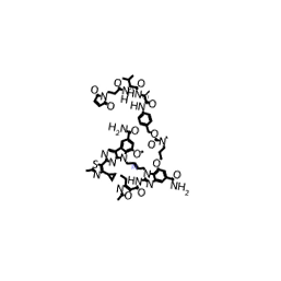 CCc1nc(C)oc1C(=O)Nc1nc2cc(C(N)=O)cc(OCCCN(C)C(=O)OCc3ccc(NC(=O)[C@H](C)NC(=O)[C@@H](NC(=O)CCN4C(=O)C=CC4=O)C(C)C)cc3)c2n1C/C=C/Cn1c2nc(-c3sc(C)nc3C3CC3)ncc2c2cc(C(N)=O)cc(OC)c21